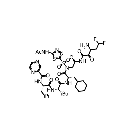 CC[C@H](C)[C@H](NC(=O)[C@H](CC(C)C)NC(=O)c1cnccn1)C(=O)N[C@@H](CC1CCCCC1)C(=O)N(CC(=O)NC(=O)C(=O)[C@@H](N)CC(F)F)S(=O)(=O)c1nnc(NC(C)=O)s1